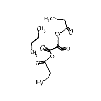 CCC(=O)OC(=O)C(=O)OC(=O)CC.CCCC